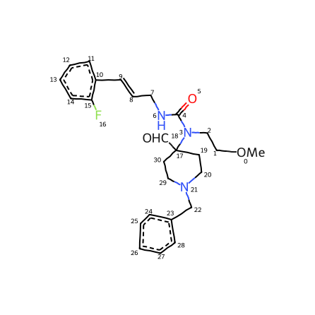 COCCN(C(=O)NC/C=C/c1ccccc1F)C1(C=O)CCN(Cc2ccccc2)CC1